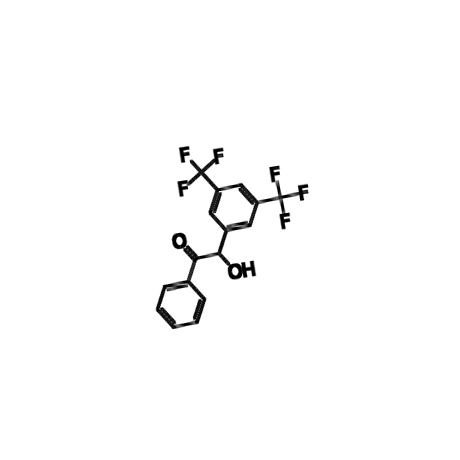 O=C(c1ccccc1)C(O)c1cc(C(F)(F)F)cc(C(F)(F)F)c1